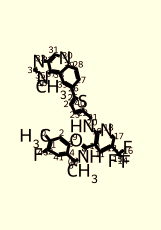 Cc1ccc([C@H](C)NC(=O)c2cc(C(F)(F)F)cnc2NCc2ccc(-c3ccc4ncc5ncn(C)c5c4c3)s2)cc1F